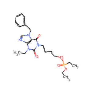 CCOP(=O)(CC)OCCCCn1c(=O)c2c(ncn2Cc2ccccc2)n(CC)c1=O